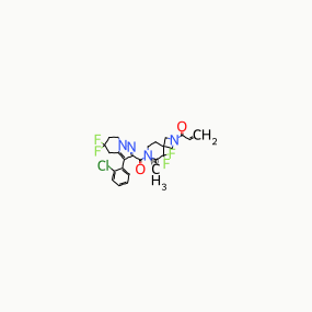 C=CC(=O)N1CC2(CCN(C(=O)c3nn4c(c3-c3ccccc3Cl)CC(F)(F)CC4)[C@H](C)C2(F)F)C1